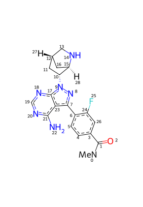 CNC(=O)c1ccc(-c2nn([C@@H]3C[C@@H]4CN[C@@H]3C4)c3ncnc(N)c23)c(F)c1